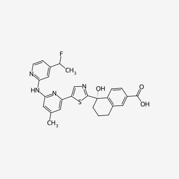 Cc1cc(Nc2cc(C(C)F)ccn2)nc(-c2cnc([C@]3(O)CCCc4cc(C(=O)O)ccc43)s2)c1